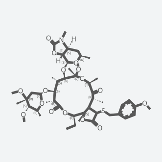 CC[C@H]1OC(=O)[C@H](C)[C@@H](O[C@H]2C[C@@](C)(OC)[C@@H](OC)[C@H](C)O2)[C@H](C)[C@@H](O[C@@H]2O[C@H](C)C[C@H]3[C@H]2OC(=O)N3C)[C@](C)(OC)C[C@@H](C)C(=O)[C@H](C)C2C(SCc3ccc(OC)cc3)C(=O)O[C@@]21C